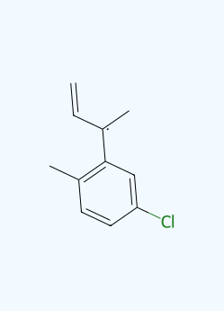 C=C[C](C)c1cc(Cl)ccc1C